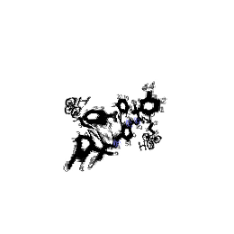 Cc1ccc2c(c1)C(C)(C)C(/C=C/C1=C(N(c3ccccc3)c3ccccc3)C(=C/C=C3/N(CCCS(=O)(=O)O)c4ccc(C)cc4C3(C)C)/C=C1)=[N+]2CCCSOOO